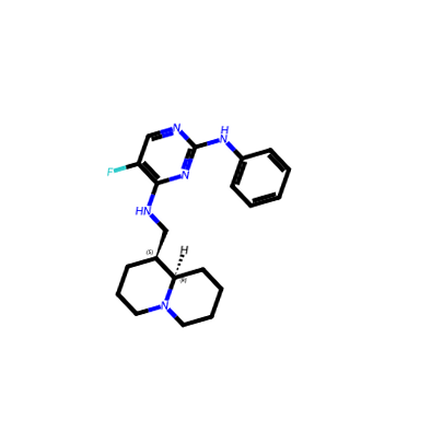 Fc1cnc(Nc2ccccc2)nc1NC[C@@H]1CCCN2CCCC[C@H]12